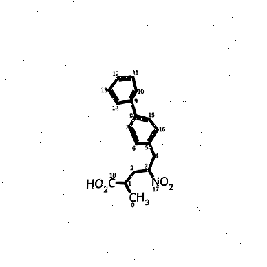 CC(CC(Cc1ccc(-c2ccccc2)cc1)[N+](=O)[O-])C(=O)O